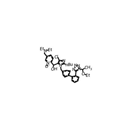 CCCCc1nc(Cl)c(C(O)c2ccc(CN(CC)CC)c[n+]2[O-])n1Cc1ccc(-c2ccccc2-c2nnnn2C(C)OCC)cc1